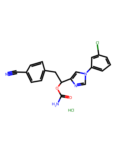 Cl.N#Cc1ccc(CC(OC(N)=O)c2cn(-c3cccc(Cl)c3)cn2)cc1